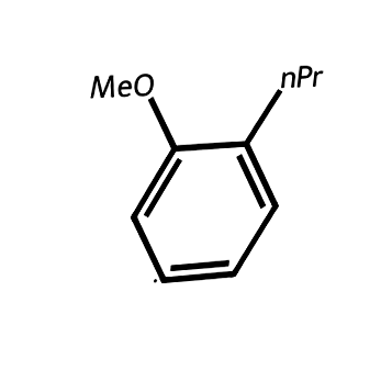 CCCc1cc[c]cc1OC